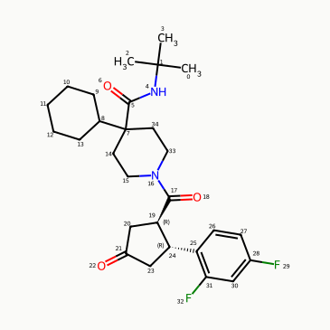 CC(C)(C)NC(=O)C1(C2CCCCC2)CCN(C(=O)[C@@H]2CC(=O)C[C@H]2c2ccc(F)cc2F)CC1